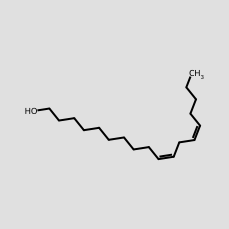 CCCC/C=C\C/C=C\CCCCCCCCCO